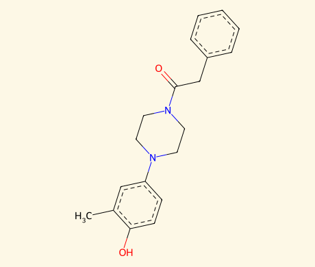 Cc1cc(N2CCN(C(=O)Cc3ccccc3)CC2)ccc1O